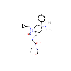 CN(C)[C@]1(c2ccccc2)CC[C@@]2(CC1)CN(CC(=O)N1CCOCC1)C(=O)N2CC1CC1